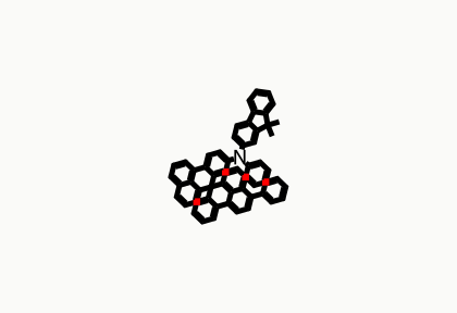 CC1(C)c2ccccc2-c2ccc(N(c3ccccc3)c3ccc4c(c3)C3(c5ccccc5-c5ccc(-c6ccccc6)c6cccc3c56)c3cccc5cccc-4c35)cc21